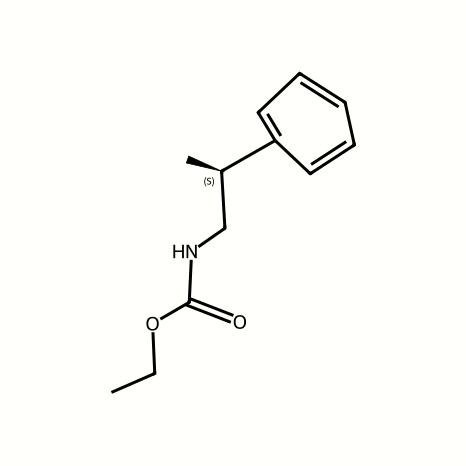 CCOC(=O)NC[C@@H](C)c1ccccc1